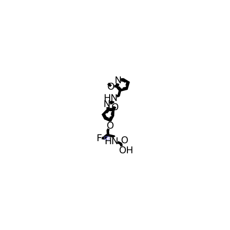 COc1ncccc1CNc1nc2ccc(OC/C(=C\F)CNC(=O)O)cc2o1